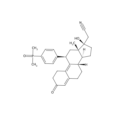 C[C@]12C[C@H](c3ccc(P(C)(C)=O)cc3)C3=C4CCC(=O)C=C4CC[C@H]3[C@@H]1CC[C@@]2(O)CC#N